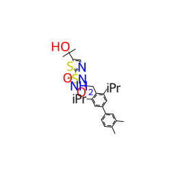 Cc1ccc(-c2cc(C(C)C)c(CC(=O)N=S(N)(=O)c3ncc(C(C)(C)O)s3)c(C(C)C)c2)cc1C